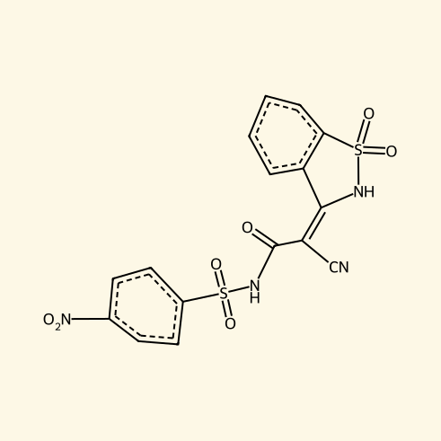 N#CC(C(=O)NS(=O)(=O)c1ccc([N+](=O)[O-])cc1)=C1NS(=O)(=O)c2ccccc21